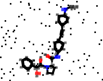 O=C(O)Nc1ccc(C#Cc2ccc(NC(=O)[C@@H]3CCCN3C(=O)[C@H](O)c3ccccc3)cc2)cc1